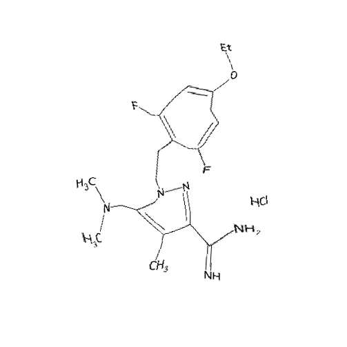 CCOc1cc(F)c(Cn2nc(C(=N)N)c(C)c2N(C)C)c(F)c1.Cl